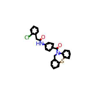 O=C(Cc1ccccc1Cl)Nc1ccc(C(=O)N2Cc3ccccc3Sc3ccccc32)cc1